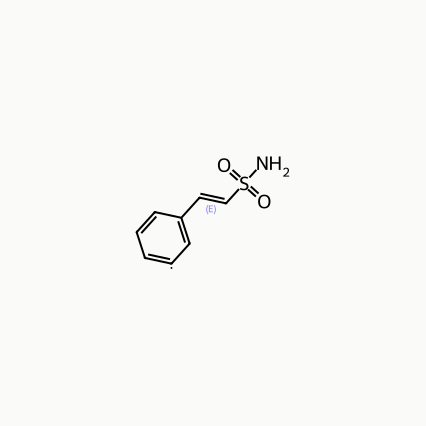 NS(=O)(=O)/C=C/c1c[c]ccc1